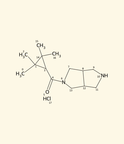 CC1(C)C(C(=O)N2CC3CNCC3C2)C1(C)C.Cl